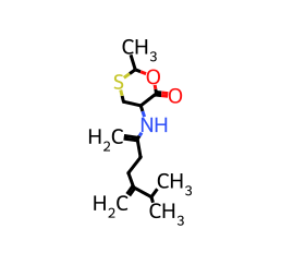 C=C(CCC(=C)C(C)C)NC1CSC(C)OC1=O